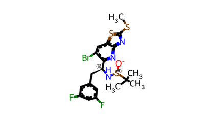 CSc1nc2nc([C@H](Cc3cc(F)cc(F)c3)N[S@@+]([O-])C(C)(C)C)c(Br)cc2s1